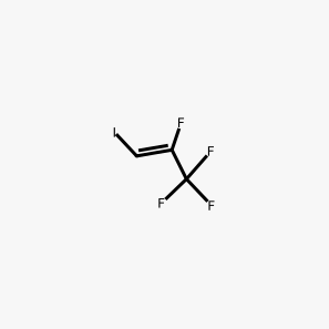 FC(=CI)C(F)(F)F